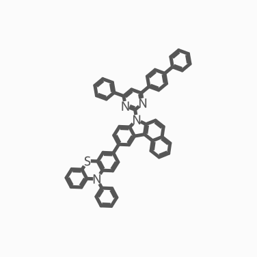 c1ccc(-c2ccc(-c3cc(-c4ccccc4)nc(-n4c5ccc(-c6ccc7c(c6)Sc6ccccc6N7c6ccccc6)cc5c5c6ccccc6ccc54)n3)cc2)cc1